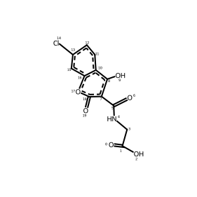 O=C(O)CNC(=O)c1c(O)c2ccc(Cl)cc2oc1=O